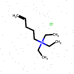 C=CCCC[N+](CC)(CC)CC.[Cl-]